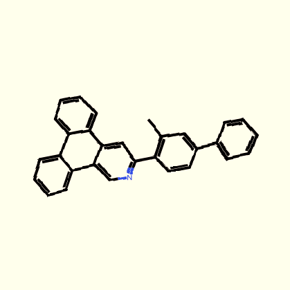 Cc1cc(-c2ccccc2)ccc1-c1cc2c3ccccc3c3ccccc3c2cn1